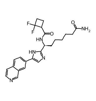 NC(=O)CCCCC[C@H](NC(=O)C1CCC1(F)F)c1ncc(-c2ccc3ccncc3c2)[nH]1